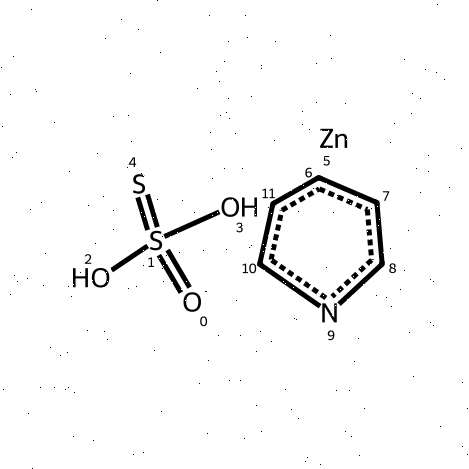 O=S(O)(O)=S.[Zn].c1ccncc1